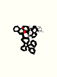 CC1(C)CCC(C)(C)c2c(N(c3ccccc3)c3cc4c(cc3-c3ccc5c(c3)CCCC5)-c3ccccc3C4(c3ccccc3)c3ccccc3)cccc21